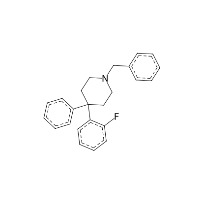 Fc1ccccc1C1(c2ccccc2)CCN(Cc2ccccc2)CC1